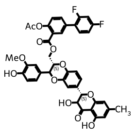 COc1cc(C2Oc3cc([C@@H]4Oc5cc(C)cc(O)c5C(=O)C4O)ccc3O[C@H]2COC(=O)c2cc(-c3ccc(F)cc3F)ccc2OC(C)=O)ccc1O